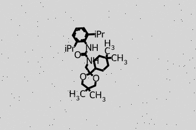 CC(C)c1cccc(C(C)C)c1NC(=O)NCC1(C2CCC(C)(C)CC2)OCC(C)(C)CO1